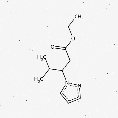 CCOC(=O)CC(C(C)C)n1cccn1